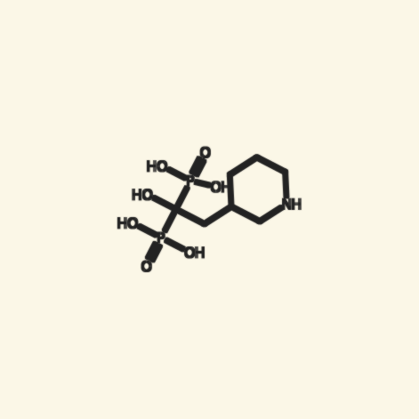 O=P(O)(O)C(O)(CC1CCCNC1)P(=O)(O)O